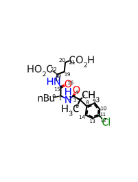 CCCC[C@H](NC(=O)C(C)(C)c1ccc(Cl)cc1)C(=O)N[C@H](CCC(=O)O)C(=O)O